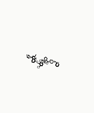 Cc1cc(-n2ccnc2)c2cccc(OCc3c(Cl)ccc(S(=O)(=O)N4CCCC4C(=O)N4CCN(Cc5ccccn5)CC4)c3Cl)c2n1